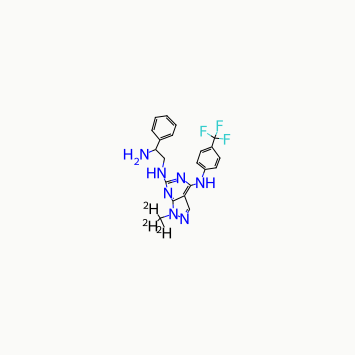 [2H]C([2H])([2H])n1ncc2c(Nc3ccc(C(F)(F)F)cc3)nc(NCC(N)c3ccccc3)nc21